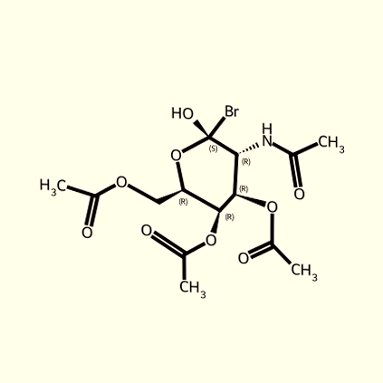 CC(=O)N[C@@H]1[C@@H](OC(C)=O)[C@@H](OC(C)=O)[C@@H](COC(C)=O)O[C@]1(O)Br